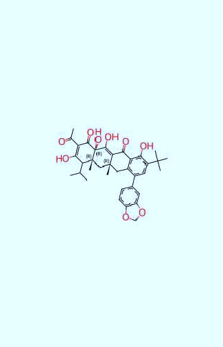 CC(=O)C1=C(O)C(C(C)C)[C@@]2(C)C[C@@]3(C)Cc4c(-c5ccc6c(c5)OCO6)cc(C(C)(C)C)c(O)c4C(=O)C3=C(O)[C@@]2(O)C1=O